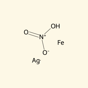 O=[N+]([O-])O.[Ag].[Fe]